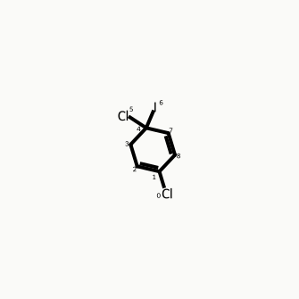 ClC1=CCC(Cl)(I)C=C1